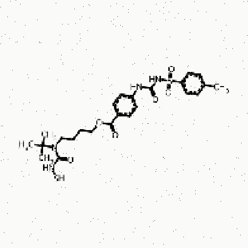 Cc1ccc(S(=O)(=O)NC(=O)Nc2ccc(C(=O)OCCCCN(C(=O)NS)C(C)(C)C)cc2)cc1